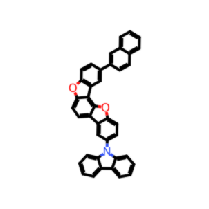 c1ccc2cc(-c3ccc4oc5ccc6c7cc(-n8c9ccccc9c9ccccc98)ccc7oc6c5c4c3)ccc2c1